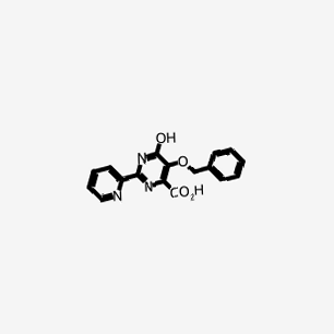 O=C(O)c1nc(-c2ccccn2)nc(O)c1OCc1ccccc1